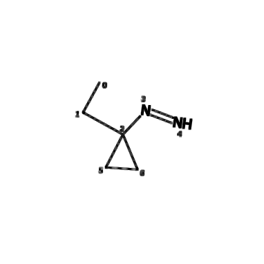 CCC1(N=N)CC1